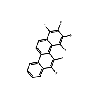 Fc1c(F)c(F)c2c(ccc3c4ccccc4c(F)c(F)c32)c1F